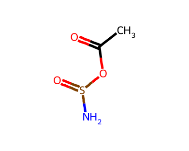 CC(=O)OS(N)=O